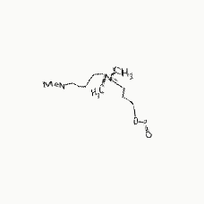 CNCCC[N+](C)(C)CCCOP=O